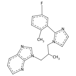 Cc1ccc(F)cc1-c1nccn1CC(C)Cn1cnc2cccnc21